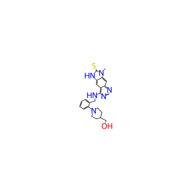 Cn1c(=S)[nH]c2cc3c(NCc4ccccc4N4CCC(CO)CC4)ncnc3cc21